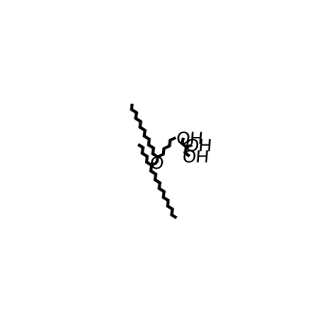 CCCCCCCCCCCCC(CCCCC)OC(CCCCC)CCCCCCCCCCCC.OCC(O)CO